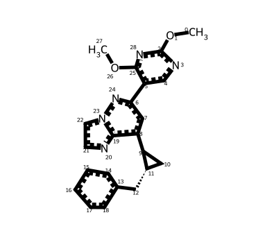 COc1ncc(-c2cc(C3C[C@@H]3Cc3ccccc3)c3nccn3n2)c(OC)n1